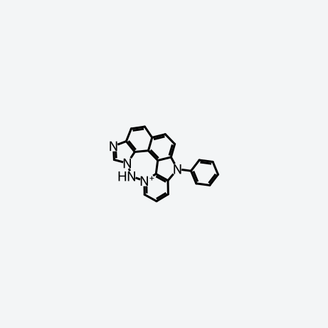 c1ccc(-n2c3ccc4ccc5ncn6[nH][n+]7cccc2c7c3c4c56)cc1